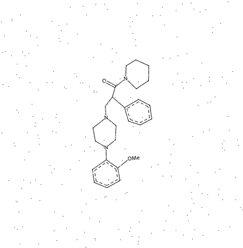 COc1ccccc1N1CCN(CC(C(=O)N2CCCCC2)c2ccccc2)CC1